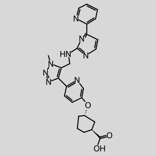 Cn1nnc(-c2ccc(O[C@H]3CCC[C@H](C(=O)O)C3)cn2)c1CNc1nccc(-c2ccccn2)n1